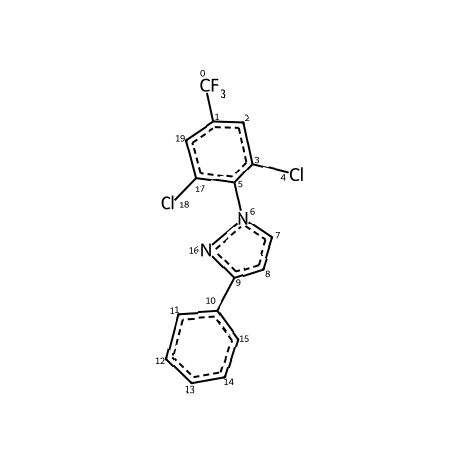 FC(F)(F)c1cc(Cl)c(-n2ccc(-c3ccccc3)n2)c(Cl)c1